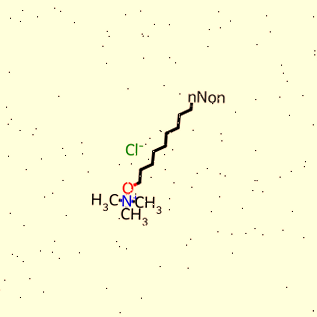 CCCCCCCCCCCCCCCCCCO[N+](C)(C)C.[Cl-]